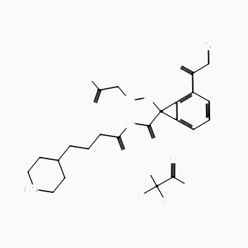 NCC(=O)c1cccc2c1C2(OOCC(=O)O)C(=O)OC(=O)CCCC1CCNCC1.O=C(O)C(F)(F)F